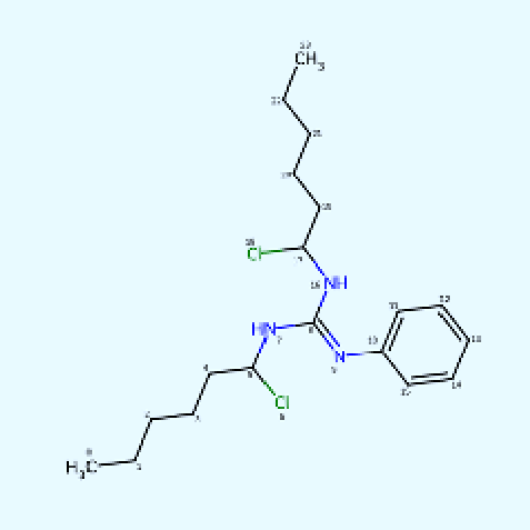 CCCCCC(Cl)NC(=Nc1ccccc1)NC(Cl)CCCCC